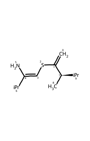 C=C(S/C=C(\N)C(C)C)[C@H](C)C(C)C